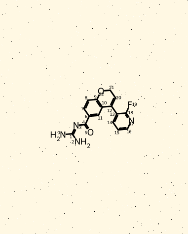 NC(N)=NC(=O)c1ccc2c(c1)C(c1cccnc1F)=CCO2